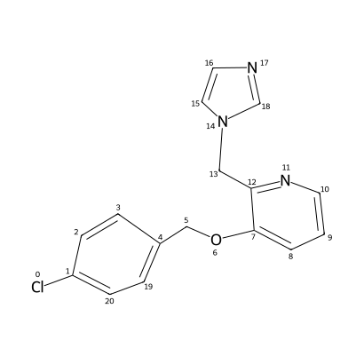 Clc1ccc(COc2cccnc2Cn2ccnc2)cc1